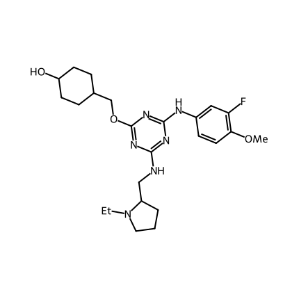 CCN1CCCC1CNc1nc(Nc2ccc(OC)c(F)c2)nc(OCC2CCC(O)CC2)n1